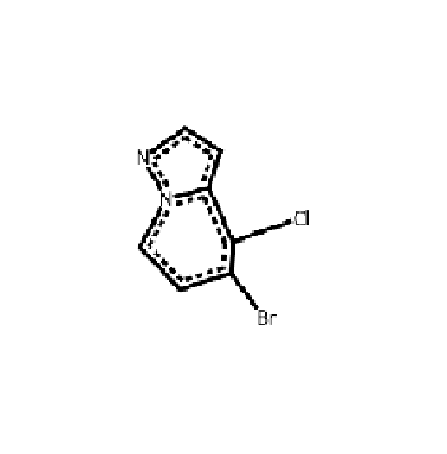 Clc1c(Br)ccn2nccc12